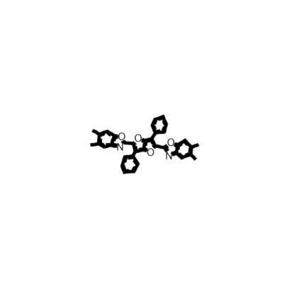 Cc1cc2nc(-c3oc4c(-c5ccccc5)c(-c5nc6cc(C)c(C)cc6o5)oc4c3-c3ccccc3)oc2cc1C